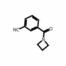 N#Cc1cc[c]c(C(=O)N2CCC2)c1